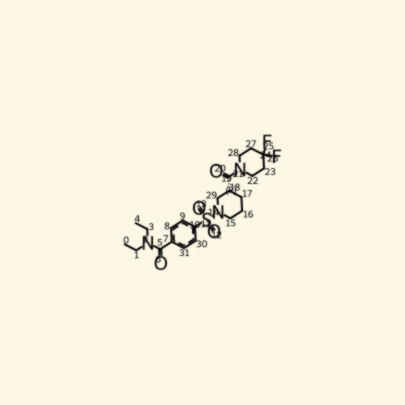 CCN(CC)C(=O)c1ccc(S(=O)(=O)N2CCC[C@@H](C(=O)N3CCC(F)(F)CC3)C2)cc1